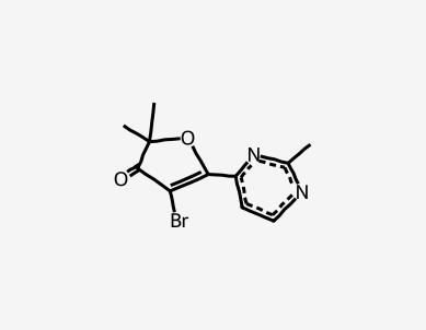 Cc1nccc(C2=C(Br)C(=O)C(C)(C)O2)n1